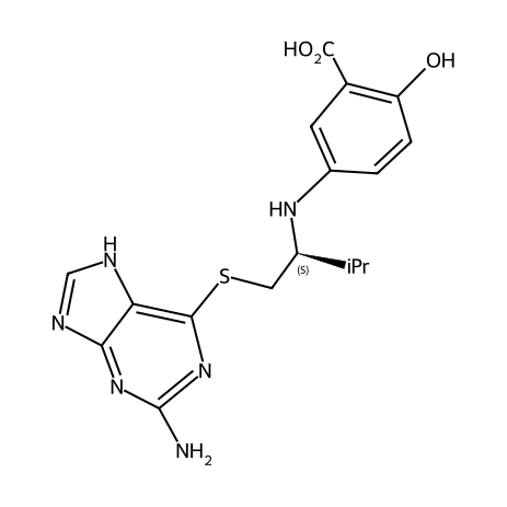 CC(C)[C@@H](CSc1nc(N)nc2nc[nH]c12)Nc1ccc(O)c(C(=O)O)c1